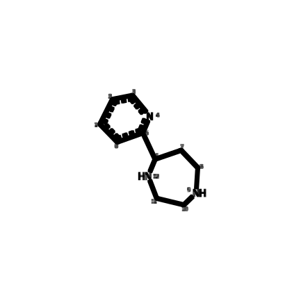 [c]1cccnc1C1CCNCCN1